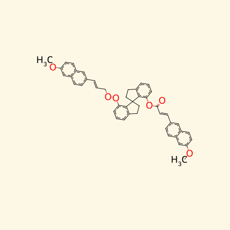 COc1ccc2cc(/C=C/COOc3cccc4c3C3(CC4)CCc4cccc(OC(=O)/C=C/c5ccc6cc(OC)ccc6c5)c43)ccc2c1